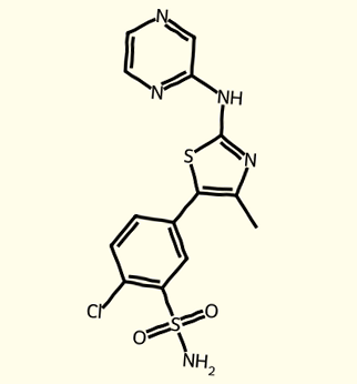 Cc1nc(Nc2cnccn2)sc1-c1ccc(Cl)c(S(N)(=O)=O)c1